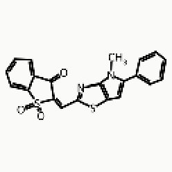 Cn1c(-c2ccccc2)cc2sc(/C=C3\C(=O)c4ccccc4S3(=O)=O)nc21